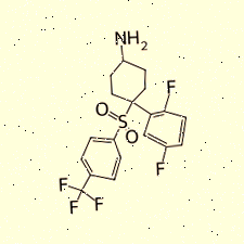 NC1CCC(c2cc(F)ccc2F)(S(=O)(=O)c2ccc(C(F)(F)F)cc2)CC1